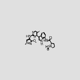 COc1nn(C)cc1Nc1ncc(C)c(-c2c[nH]c3c(NC(=O)C4CCCN4[SH]=O)cccc23)n1